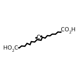 C=C=C.O=C(O)CCCCCCCCCCCCCCCCCC(=O)O